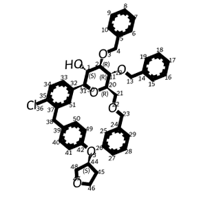 O[C@@H]1[C@@H](OCc2ccccc2)[C@H](OCc2ccccc2)[C@@H](COCc2ccccc2)O[C@H]1c1ccc(Cl)c(Cc2ccc(O[C@H]3CCOC3)cc2)c1